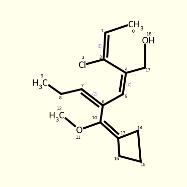 C\C=C(Cl)/C(=C\C(=C\CC)C(OC)=C1CCC1)CO